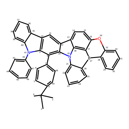 CC(C)(C)c1ccc(-c2c3c(cc4c5ccc6c7c5n(c24)-c2ccccc2B7c2ccccc2O6)c2ccccc2n3-c2ccccc2)cc1